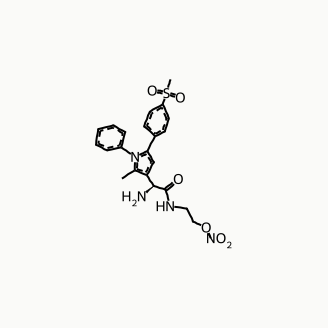 Cc1c([C@H](N)C(=O)NCCO[N+](=O)[O-])cc(-c2ccc(S(C)(=O)=O)cc2)n1-c1ccccc1